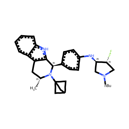 CCCCN1C[C@@H](F)[C@H](Nc2ccc([C@@H]3c4[nH]c5ccccc5c4C[C@@H](C)N3C34CC(C3)C4)cc2)C1